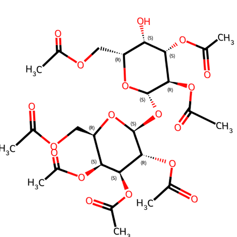 CC(=O)OC[C@H]1O[C@@H](O[C@@H]2O[C@H](COC(C)=O)[C@H](OC(C)=O)[C@H](OC(C)=O)[C@H]2OC(C)=O)[C@H](OC(C)=O)[C@@H](OC(C)=O)[C@H]1O